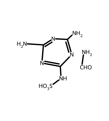 NC=O.Nc1nc(N)nc(NS(=O)(=O)O)n1